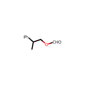 CC(C)C(C)COC=O